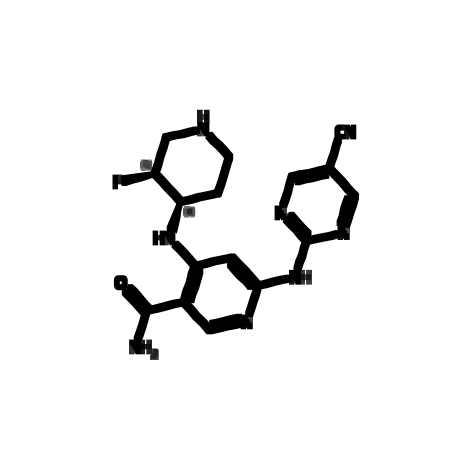 N#Cc1cnc(Nc2cc(N[C@@H]3CCNC[C@@H]3F)c(C(N)=O)cn2)nc1